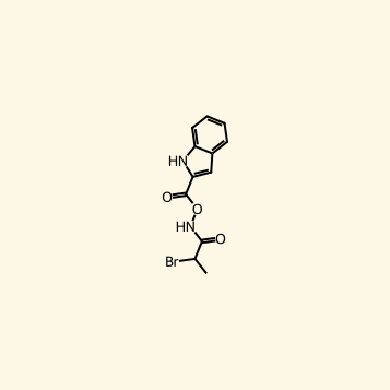 CC(Br)C(=O)NOC(=O)c1cc2ccccc2[nH]1